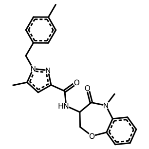 Cc1ccc(Cn2nc(C(=O)NC3COc4ccccc4N(C)C3=O)cc2C)cc1